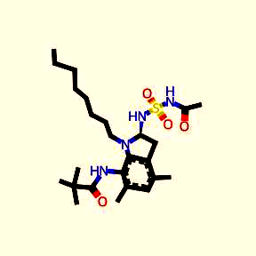 CCCCCCCCN1c2c(c(C)cc(C)c2NC(=O)C(C)(C)C)C[C@@H]1NS(=O)(=O)NC(C)=O